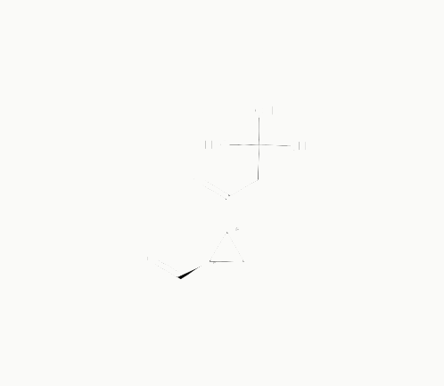 C=C[C@@H]1C[C@H]1C(=O)CC(C)(C)O